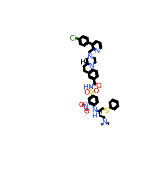 CN(C)CC[C@H](CSc1ccccc1)Nc1ccc(S(=O)(=O)NC(=O)c2ccc3c(c2)CC[C@@H]2CN(Cc4ncccc4-c4ccc(Cl)cc4)CCN32)cc1[N+](=O)[O-]